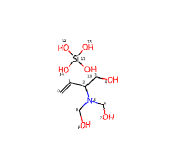 C=CC(CO)N(CO)CO.O[Si](O)(O)O